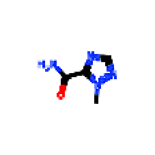 Cn1ncnc1C(N)=O